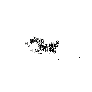 CN[C@@H](CSSC[C@H](NC(=O)[C@H](CC(N)=O)NC(C)O)C(=O)N1CCC[C@H]1C(=O)N[C@@H](CC(C)C)C(=O)NCC(N)=O)C(=O)N[C@@H](Cc1ccc(O)cc1)C(N)=O